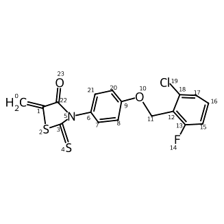 C=C1SC(=S)N(c2ccc(OCc3c(F)cccc3Cl)cc2)C1=O